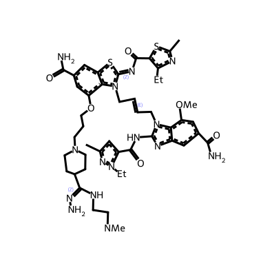 CCc1nc(C)sc1C(=O)/N=c1\sc2cc(C(N)=O)cc(OCCCN3CCC(/C(=N/N)NCCNC)CC3)c2n1C/C=C/Cn1c(NC(=O)c2cc(C)nn2CC)nc2cc(C(N)=O)cc(OC)c21